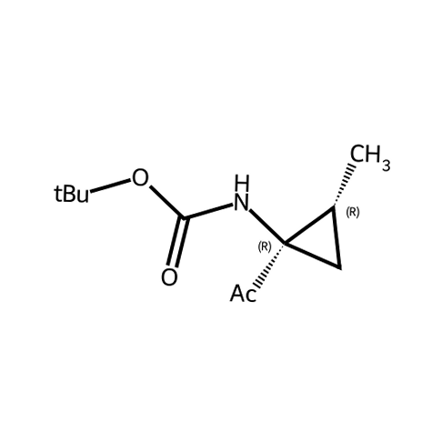 CC(=O)[C@@]1(NC(=O)OC(C)(C)C)C[C@H]1C